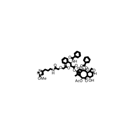 COn1cc(CCCNC(=O)COCC(=O)O[C@@H](C(=O)O[C@H]2C[C@@]3(O)[C@@H](OC(=O)c4ccccc4)C4[C@](C)(C(=O)[C@H](OC(C)=O)C(=C2C)C3(C)C)[C@@H](O)C[C@H]2OC[C@@]42OC(C)=O)[C@@H](NC(=O)c2ccccc2)c2ccccc2)nn1